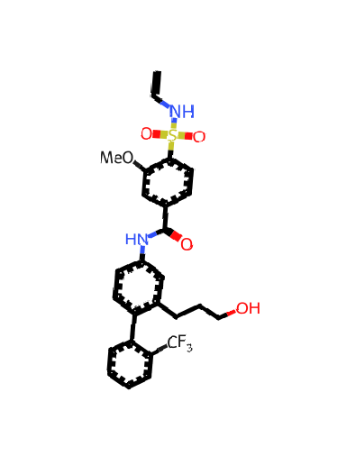 C=CNS(=O)(=O)c1ccc(C(=O)Nc2ccc(-c3ccccc3C(F)(F)F)c(CCCO)c2)cc1OC